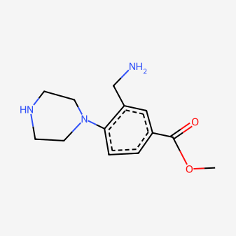 COC(=O)c1ccc(N2CCNCC2)c(CN)c1